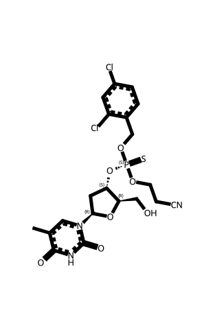 Cc1cn([C@H]2C[C@H](O[P@](=S)(OCCC#N)OCc3ccc(Cl)cc3Cl)[C@@H](CO)O2)c(=O)[nH]c1=O